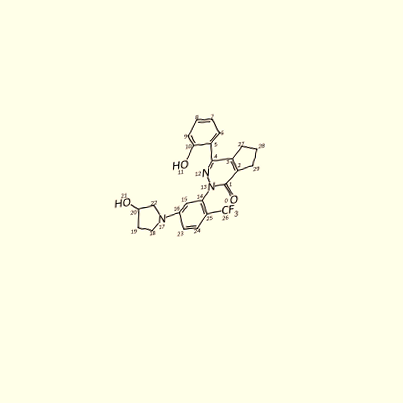 O=c1c2c(c(-c3ccccc3O)nn1-c1cc(N3CCC(O)C3)ccc1C(F)(F)F)CCC2